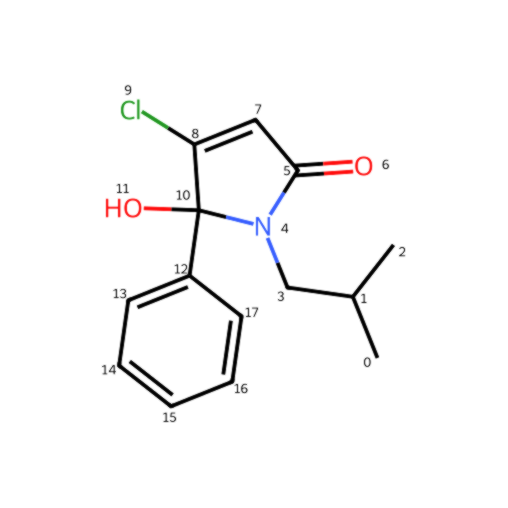 CC(C)CN1C(=O)C=C(Cl)C1(O)c1ccccc1